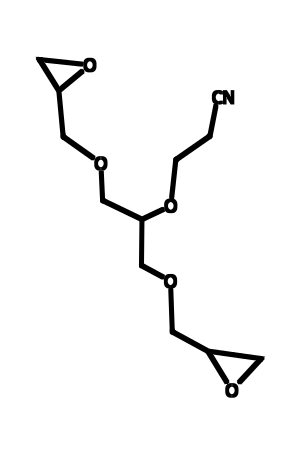 N#CCCOC(COCC1CO1)COCC1CO1